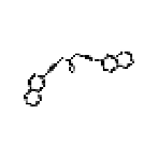 O=C(CC#Cc1ccc2ccccc2c1)CC#Cc1ccc2ccccc2c1